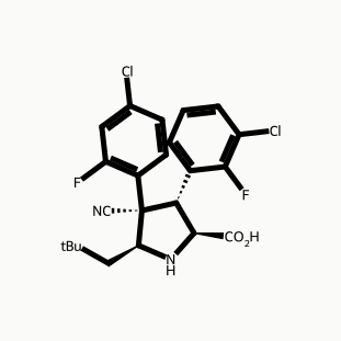 CC(C)(C)C[C@@H]1N[C@H](C(=O)O)[C@@H](c2cccc(Cl)c2F)[C@]1(C#N)c1ccc(Cl)cc1F